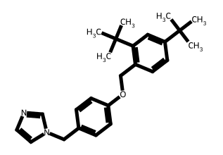 CC(C)(C)c1ccc(COc2ccc(Cn3ccnc3)cc2)c(C(C)(C)C)c1